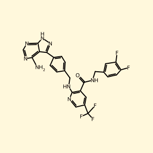 Nc1ncnc2[nH]nc(-c3ccc(CNc4ncc(C(F)(F)F)cc4C(=O)NCc4ccc(F)c(F)c4)cc3)c12